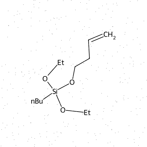 C=CCCO[Si](CCCC)(OCC)OCC